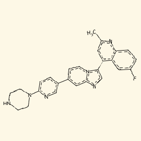 Cc1cc(-c2cnc3cc(-c4ccc(N5CCNCC5)nc4)ccn23)c2cc(F)ccc2n1